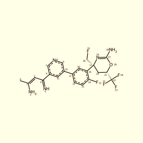 C/C(N)=C/C(=N)c1cncc(-c2ccc(F)c([C@]3(CF)C[C@@H](C(F)(F)F)OC(N)=N3)c2)c1